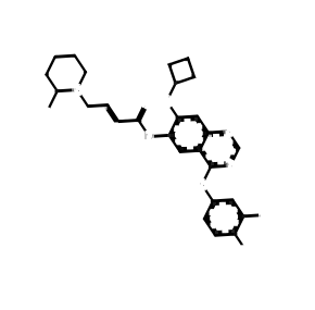 CC1CCCCN1CC=CC(=O)Nc1cc2c(Nc3ccc(F)c(Cl)c3)ncnc2cc1OC1CCC1